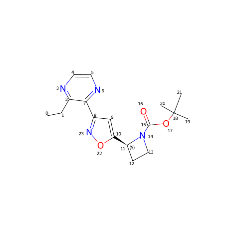 CCc1nccnc1-c1cc([C@@H]2CCN2C(=O)OC(C)(C)C)on1